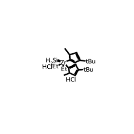 C[CH2][Zr](=[SiH2])([CH2]C)([C]1=CC(C(C)(C)C)=CC1C)[C]1=CC(C(C)(C)C)=CC1C.Cl.Cl